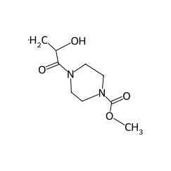 [CH2]C(O)C(=O)N1CCN(C(=O)OC)CC1